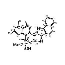 COC1(O)C2(C)c3c(cc(C)c4c(C)cc(C)cc34)-c3c4c(nc[n+]3C12C)c1ccc2ccccc2c1n4C